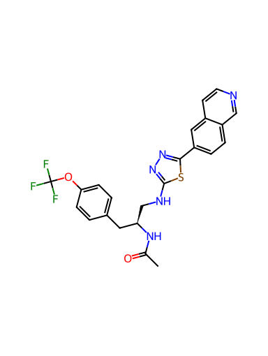 CC(=O)N[C@H](CNc1nnc(-c2ccc3cnccc3c2)s1)Cc1ccc(OC(F)(F)F)cc1